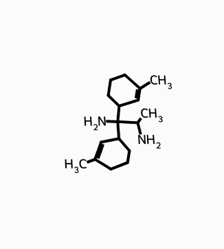 CC1=CC(C(N)(C(C)N)C2C=C(C)CCC2)CCC1